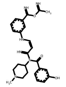 CC(=N)OC(=N)c1cccc(N/C=C\C(=N)N(C(=O)c2cccc(O)c2)C2CCN(C)CC2)c1